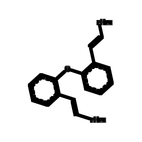 CCCCCCC=Cc1ccccc1Oc1ccccc1C=CCCCCCC